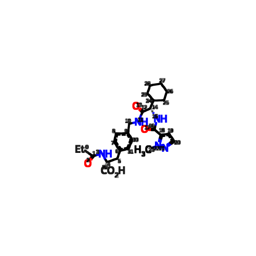 CCC(=O)N[C@H](Cc1ccc(CNC(=O)[C@@H](NC(=O)c2ccnn2C)C2CCCCC2)cc1)C(=O)O